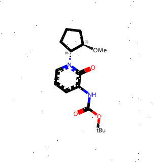 CO[C@@H]1CCC[C@H]1n1cccc(NC(=O)OC(C)(C)C)c1=O